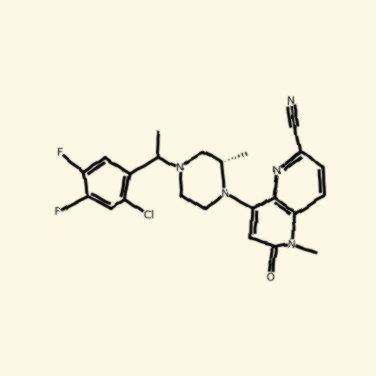 CC(c1cc(F)c(F)cc1Cl)N1CCN(c2cc(=O)n(C)c3ccc(C#N)nc23)[C@@H](C)C1